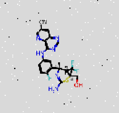 C[C@]1(c2cc(Nc3ncnc4cc(C#N)cnc34)ccc2F)N=C(N)S[C@]2(CO)[C@H]1C2(F)F